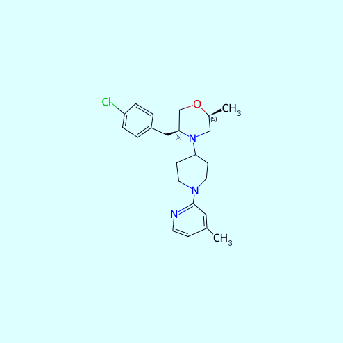 Cc1ccnc(N2CCC(N3C[C@H](C)OC[C@@H]3Cc3ccc(Cl)cc3)CC2)c1